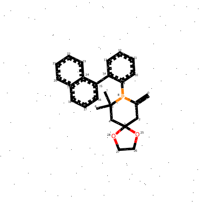 C=C1CC2(CC(C)(C)P1c1ccccc1-c1cccc3ccccc13)OCCO2